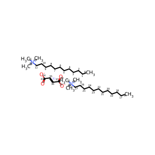 CCCCCCCCCCCC[N+](C)(C)C.CCCCCCCCCCCC[N+](C)(C)C.O=C([O-])/C=C/C(=O)[O-]